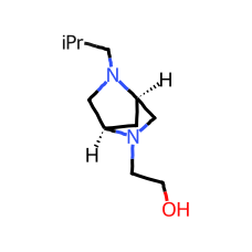 CC(C)CN1C[C@H]2C[C@@H]1CN2CCO